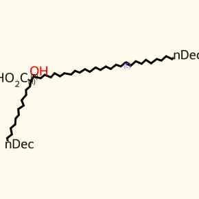 CCCCCCCCCCCCCCCCCC/C=C/CCCCCCCCCCCCCCCCC[C@@H](O)[C@@H](CCCCCCCCCCCCCCCCCCCCCC)C(=O)O